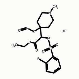 CCOC(=O)C(NS(=O)(=O)c1ccccc1F)C1(SN=O)CCN(C)CC1.Cl